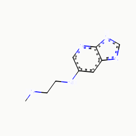 CCCNCCNc1cnc2[nH]cnc2c1